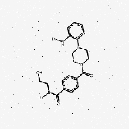 CCNc1cccnc1N1CCN(C(=O)c2ccc(C(=O)N(CC)CCO)cc2)CC1